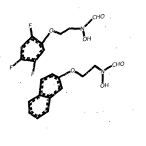 O=CN(O)CCOc1cc(F)c(F)cc1F.O=CN(O)CCOc1ccc2ccccc2c1